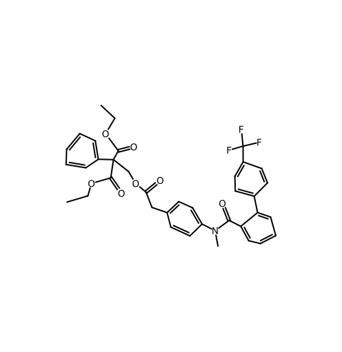 CCOC(=O)C(COC(=O)Cc1ccc(N(C)C(=O)c2ccccc2-c2ccc(C(F)(F)F)cc2)cc1)(C(=O)OCC)c1ccccc1